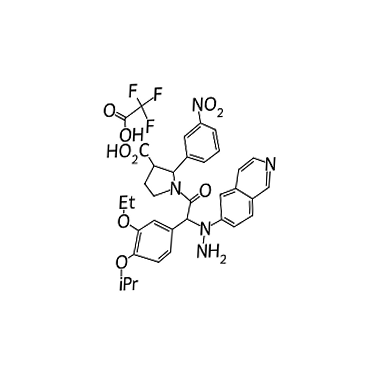 CCOc1cc(C(C(=O)N2CCC(C(=O)O)C2c2cccc([N+](=O)[O-])c2)N(N)c2ccc3cnccc3c2)ccc1OC(C)C.O=C(O)C(F)(F)F